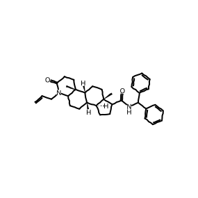 C=CCN1C(=O)CC[C@@]2(C)C1CC[C@@H]1[C@H]2CC[C@]2(C)C(C(=O)NC(c3ccccc3)c3ccccc3)CC[C@@H]12